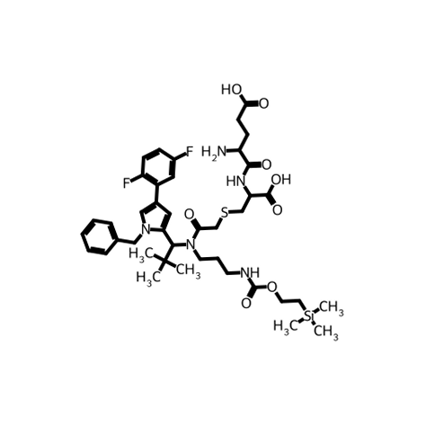 CC(C)(C)C(c1cc(-c2cc(F)ccc2F)cn1Cc1ccccc1)N(CCCNC(=O)OCC[Si](C)(C)C)C(=O)CSCC(NC(=O)C(N)CCC(=O)O)C(=O)O